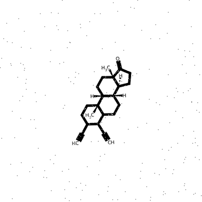 C#CC1CC[C@@]2(C)C(CC[C@@H]3[C@H]2CC[C@]2(C)C(=O)CC[C@@H]32)C1C#C